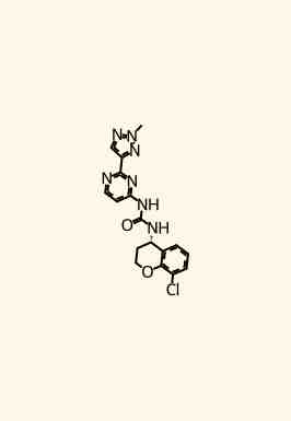 Cn1ncc(-c2nccc(NC(=O)N[C@H]3CCOc4c(Cl)cccc43)n2)n1